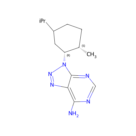 CC(C)C1CC[C@H](C)[C@H](n2nnc3c(N)ncnc32)C1